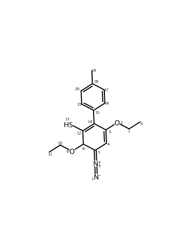 CCOC1=CC(=[N+]=[N-])C(OCC)C(S)=C1c1ccc(C)cc1